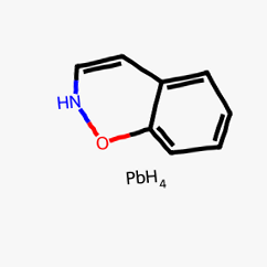 C1=Cc2ccccc2ON1.[PbH4]